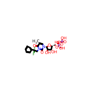 Cc1cn([C@@H]2O[C@H](COP(=O)(O)OP(=O)(O)O)C(O)C2O)c(=O)n(CC(F)(F)c2ccccc2)c1=O